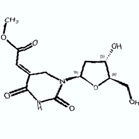 COC(=O)C=C1CN([C@H]2C[C@H](O)[C@@H](CO)O2)C(=O)NC1=O